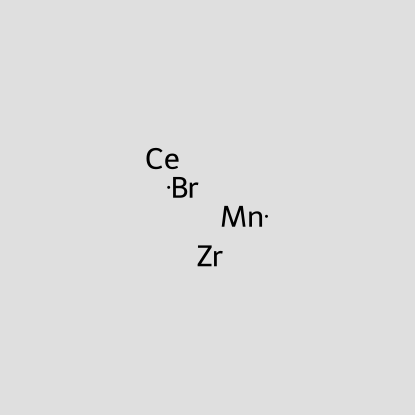 [Br].[Ce].[Mn].[Zr]